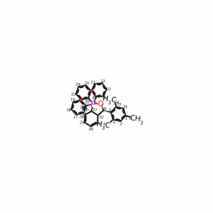 Cc1cc(C)c([C@@H]2OP(c3ccccc3)(c3ccccc3)(c3ccccc3)[C@@H]3C=CC=CC32)c(C)c1